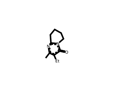 CCc1c(C)nc2n(c1=O)CCCC2